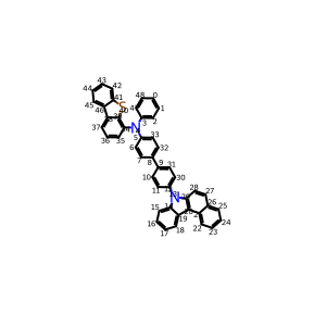 c1ccc(N(c2ccc(-c3ccc(-n4c5ccccc5c5c6ccccc6ccc54)cc3)cc2)c2cccc3c2sc2ccccc23)cc1